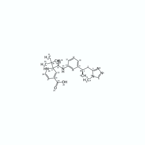 C[C@H](Cc1nncn1C)c1cccc(NC(=O)C2(C(C)(C)C)C=C(C(=O)O)C=CN2)c1